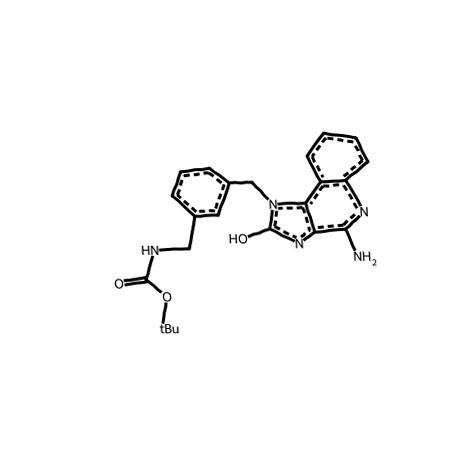 CC(C)(C)OC(=O)NCc1cccc(Cn2c(O)nc3c(N)nc4ccccc4c32)c1